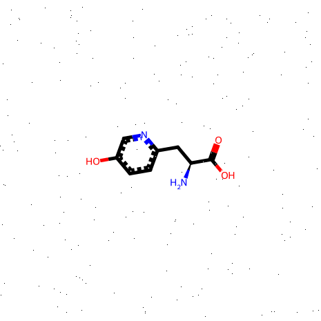 N[C@@H](Cc1ccc(O)cn1)C(=O)O